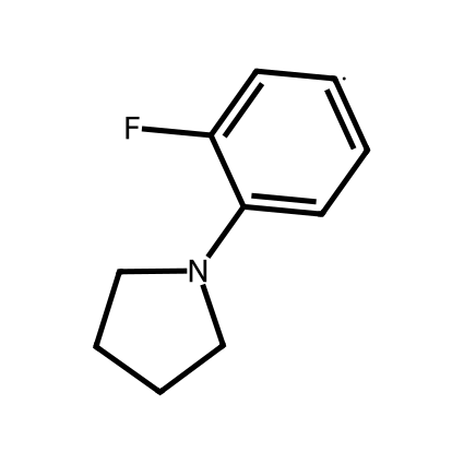 Fc1c[c]ccc1N1CCCC1